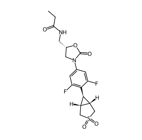 CCC(=O)NC[C@H]1CN(c2cc(F)c([C@H]3[C@@H]4CS(=O)(=O)C[C@@H]43)c(F)c2)C(=O)O1